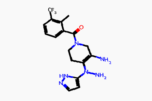 Cc1c(C(=O)N2CCC(N(N)c3ccn[nH]3)=C(N)C2)cccc1C(F)(F)F